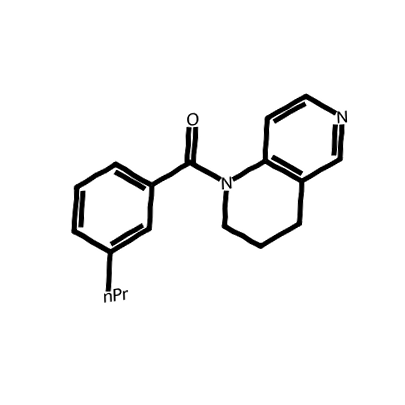 CCCc1cccc(C(=O)N2CCCc3cnccc32)c1